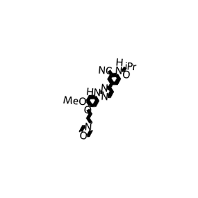 COc1cc(Nc2nccc(-c3ccc(NC(=O)C(C)C)c(C#N)c3)n2)ccc1OCCCN1CCOCC1